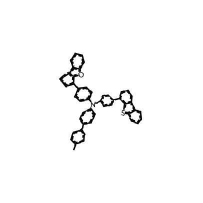 Cc1ccc(-c2ccc(N(c3ccc(-c4cccc5c4oc4ccccc45)cc3)c3ccc(-c4cccc5c4sc4ccccc45)cc3)cc2)cc1